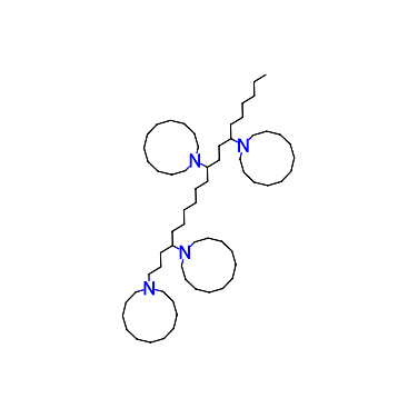 CCCCCCC(CCC(CCCCCCC(CCCN1CCCCCCCCCCC1)N1CCCCCCCCCCC1)N1CCCCCCCCCCC1)N1CCCCCCCCCCC1